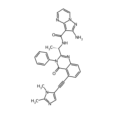 Cc1ncc(C#Cc2cccc3nc([C@H](C)NC(=O)c4c(N)nn5cccnc45)n(-c4ccccc4)c(=O)c23)n1C